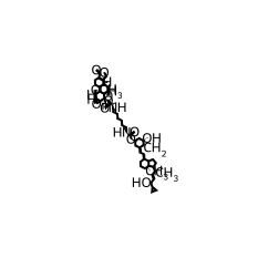 C=C1/C(=C\C=C2/CCC[C@@]3(C)C2CCC3[C@@H](C)/C=C/C(O)C2CC2)C[C@@H](OC(=O)NCCCCCCNC(=O)O[C@@H]2[C@@]3(C(C)C)O[C@H]3[C@@H]3O[C@]34[C@]23O[C@H]3C[C@H]2C3=C(CC[C@@]24C)C(=O)OC3)C[C@@H]1O